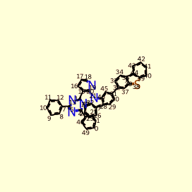 c1ccc(-c2nc(-c3ccccc3)nc(-c3cccnc3-n3c4ccccc4c4ccc(-c5ccc6c(c5)sc5ccccc56)cc43)n2)cc1